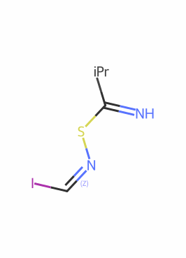 CC(C)C(=N)S/N=C\I